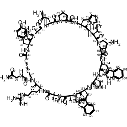 CCCC[C@H]1C(=O)N(C)[C@@H](CCC)C(=O)N[C@@H](CCCNC(=N)N)C(=O)N[C@H](C(=O)NCC(N)=O)CSCC(=O)N[C@@H](Cc2ccc(O)cc2)C(=O)N(C)[C@@H](C)C(=O)N[C@@H](CC(N)=O)C(=O)N2CCC[C@H]2C(=O)N[C@@H](Cc2cnc[nH]2)C(=O)N[C@@H](CC(C)C)C(=O)N2C[C@@H](N)C[C@H]2C(=O)N[C@@H](Cc2c[nH]c3ccccc23)C(=O)N[C@@H](CO)C(=O)N[C@@H](Cc2csc3ccccc23)C(=O)N1C